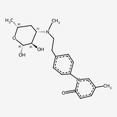 Cc1ccc(=O)n(-c2ccc(CCN(C)[C@H]3C[C@@H](C)O[C@@H](O)[C@@H]3O)cc2)c1